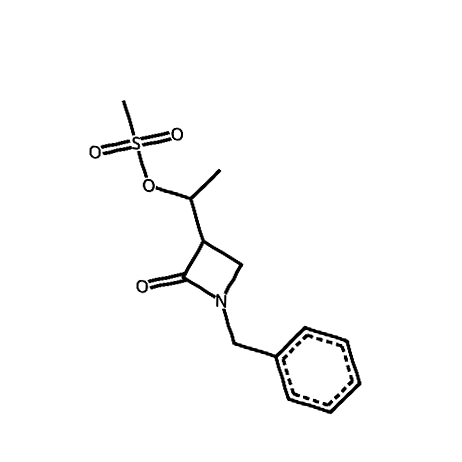 CC(OS(C)(=O)=O)C1CN(Cc2ccccc2)C1=O